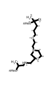 CCCCCCC(C)CNCC1CN(CCOCCCC(C)(CC)CCCCCC)CCO1